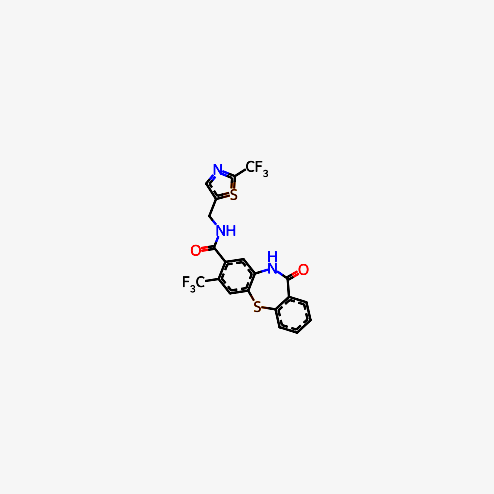 O=C1Nc2cc(C(=O)NCc3cnc(C(F)(F)F)s3)c(C(F)(F)F)cc2Sc2ccccc21